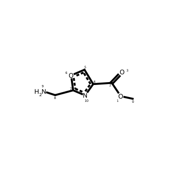 COC(=O)c1coc(CN)n1